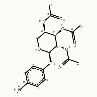 CC(=O)O[C@@H]1[C@@H](Oc2ccc(N)cc2)OC[C@@H](OC(C)=O)[C@H]1OC(C)=O